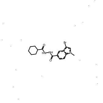 Cn1cc(Br)c2cc(C(=O)NNC(=O)C3CCCCC3)ccc21